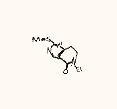 CCN1CCc2nc(SC)ncc2C1=O